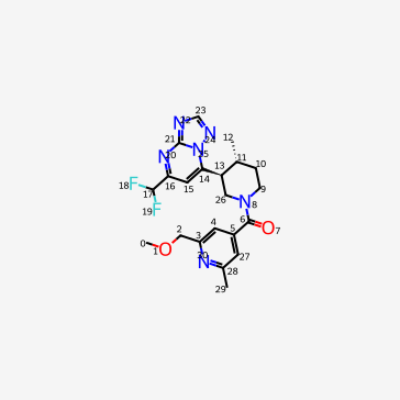 COCc1cc(C(=O)N2CC[C@@H](C)[C@H](c3cc(C(F)F)nc4ncnn34)C2)cc(C)n1